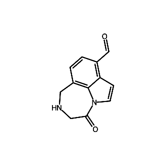 O=Cc1ccc2c3c1ccn3C(=O)CNC2